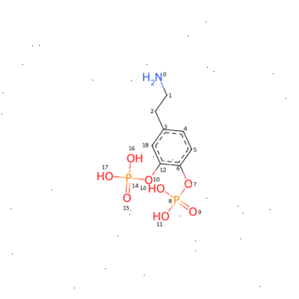 NCCc1ccc(OP(=O)(O)O)c(OP(=O)(O)O)c1